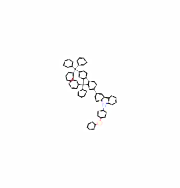 c1ccc(Oc2ccc(-n3c4ccccc4c4cc(-c5ccc6c(c5)C(c5ccccc5)(c5ccccc5)c5cc(C(c7ccccc7)(c7ccccc7)c7ccccc7)ccc5-6)ccc43)cc2)cc1